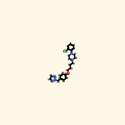 Clc1ccccc1N1CCN(CCCCOc2ccc(Cn3nccn3)cc2)CC1